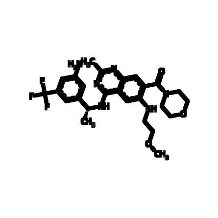 COCCNc1cc2c(N[C@H](C)c3cc(N)cc(C(F)(F)F)c3)nc(C)nc2cc1C(=O)N1CCOCC1